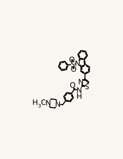 CN1CCN(Cc2ccc(C(=O)Nc3nc(-c4ccc5c6ccccc6n(S(=O)(=O)c6ccccc6)c5c4)cs3)cc2)CC1